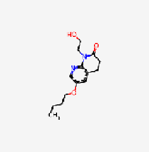 CCCCOc1cnc2c(c1)CCC(=O)N2CCO